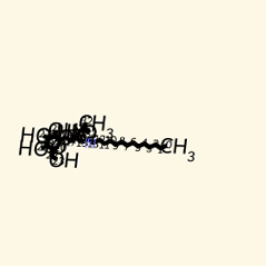 CCCCCCCCCCCCC/C=C/CC(COC1OC(CO)C(O)C(O)C1O)NC(C)=O